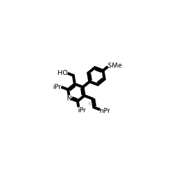 CCC/C=C/c1c(C(C)C)nc(C(C)C)c(CO)c1-c1ccc(SC)cc1